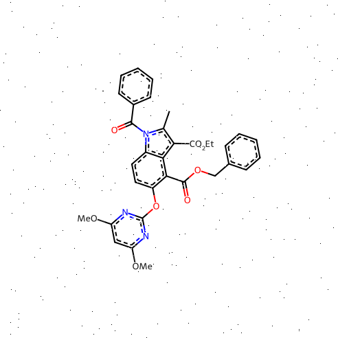 CCOC(=O)c1c(C)n(C(=O)c2ccccc2)c2ccc(Oc3nc(OC)cc(OC)n3)c(C(=O)OCc3ccccc3)c12